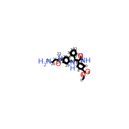 CCOC(=O)c1ccc2c(c1)NC(=O)C2=C(Nc1ccc(N(C)C(=O)CCN)cc1)c1ccccc1